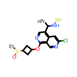 CCCC(NS)c1cnc(OC2CC([S+]([O-])CC)C2)c2cnc(Cl)cc12